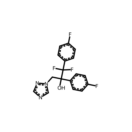 OC(Cn1cncn1)(c1ccc(F)cc1)C(F)(F)c1ccc(F)cc1